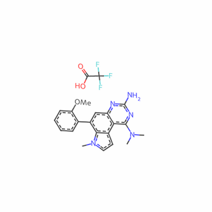 COc1ccccc1-c1cc2nc(N)nc(N(C)C)c2c2ccn(C)c12.O=C(O)C(F)(F)F